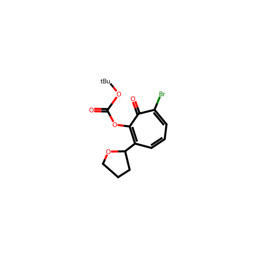 CC(C)(C)OC(=O)Oc1c(C2CCCO2)cccc(Br)c1=O